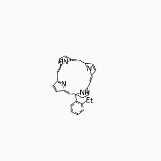 CCc1ccccc1C12C=C3C=CC(=N3)C=c3ccc([nH]3)=CC3=NC(=CC(=CC1)N2)C=C3